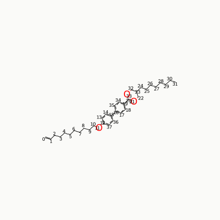 C=CCCCCCCCCCOc1ccc(-c2ccc(C3OCC(CCCCCCCC)CO3)cc2)cc1